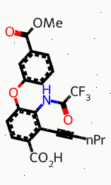 CCCC#Cc1c(C(=O)O)ccc(Oc2cccc(C(=O)OC)c2)c1NC(=O)C(F)(F)F